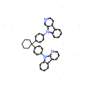 c1ccc2c(c1)c1ccncc1n2-c1ccc(C2(c3ccc(-n4c5ccccc5c5cccnc54)cc3)CCCCC2)cc1